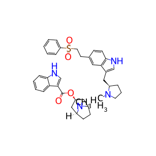 CN1CCC[C@@H]1Cc1c[nH]c2ccc(CCS(=O)(=O)c3ccccc3)cc12.CN1[C@@H]2CC[C@H]1C[C@@H](OC(=O)c1c[nH]c3ccccc13)C2